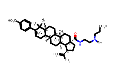 C=C(C)[C@@H]1CC[C@]2(C(=O)NCCN(CC)CCC(=O)O)CC[C@]3(C)[C@H](CC[C@@H]4[C@@]5(C)CC=C(c6ccc(C(=O)O)cc6)C(C)(C)[C@@H]5CC[C@]43C)C12